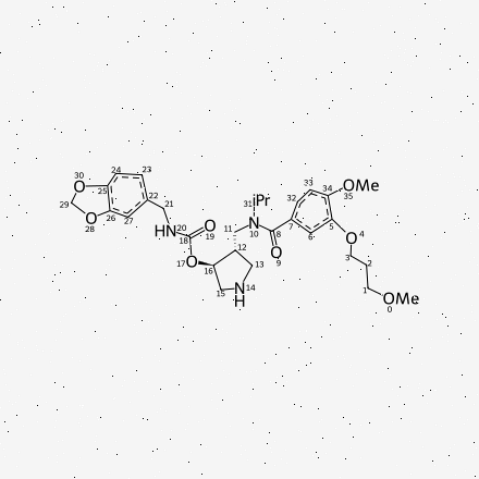 COCCCOc1cc(C(=O)N(C[C@@H]2CNC[C@H]2OC(=O)NCc2ccc3c(c2)OCO3)C(C)C)ccc1OC